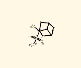 CC(C1C2CCCC1C2)S(C)(=O)=O